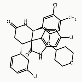 Cc1cc(OC2CCOCC2)c([C@@H]2NC(=O)C[C@@H](C3C=CC=C(Cl)C3)[C@]23C(=O)Nc2cc(Cl)ccc23)cc1Cl